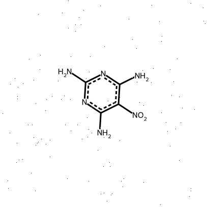 Nc1nc(N)c([N+](=O)[O-])c(N)n1